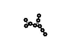 c1ccc(-c2ccc(-c3ccc4c(c3)c3ccc(-c5ccc6c(c5)c5ccccc5n6-c5ccccc5)cc3n4-c3ccc(-c4ccccc4)cc3)cc2)cc1